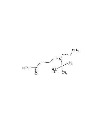 CCCN(CCCC(=O)O)C(C)(C)C